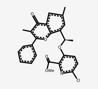 COC(=O)c1nc(Cl)ccc1O[C@H](C)c1cc(C)cc2c(=O)c(C)c(-c3ccccc3)oc12